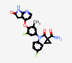 Cc1cc(N(C(=O)C2(C(N)=O)CC2)c2ccc(F)cc2)cc(F)c1Oc1ccnc2c1CC(=O)N2